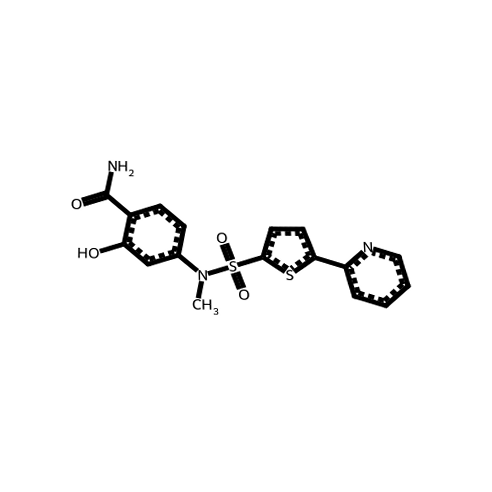 CN(c1ccc(C(N)=O)c(O)c1)S(=O)(=O)c1ccc(-c2ccccn2)s1